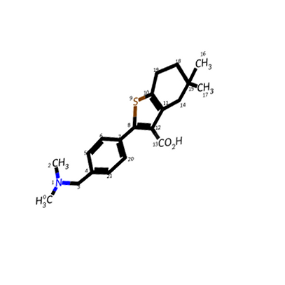 CN(C)Cc1ccc(-c2sc3c(c2C(=O)O)CC(C)(C)CC3)cc1